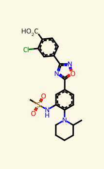 CC1CCCCN1c1ccc(-c2nc(-c3ccc(C(=O)O)c(Cl)c3)no2)cc1NS(C)(=O)=O